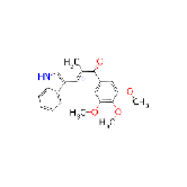 COc1cc(C(=O)/C(C)=C/c2c[nH]c3ccccc23)cc(OC)c1OC